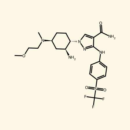 COCCN(C)[C@H]1CC[C@H](n2cc(C(N)=O)c(Nc3ccc(S(=O)(=O)C(F)(F)F)cc3)n2)[C@@H](N)C1